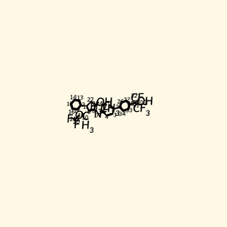 C\C=C(/C=C\C(C)=N\C1=C(C)[C@@H](c2ccccc2OC(F)F)C[C@H]1O)c1ccc(C(O)(C(F)(F)F)C(F)(F)F)cc1